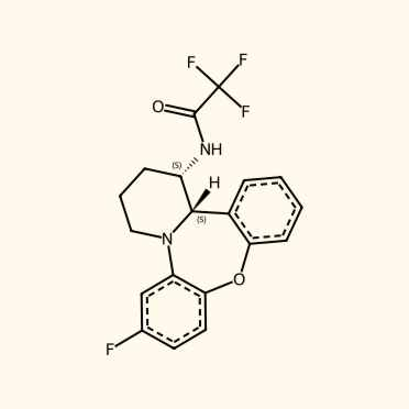 O=C(N[C@H]1CCCN2c3cc(F)ccc3Oc3ccccc3[C@@H]12)C(F)(F)F